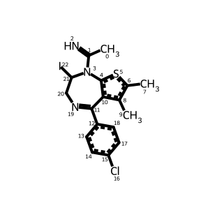 CC(=N)N1c2sc(C)c(C)c2C(c2ccc(Cl)cc2)=NCC1I